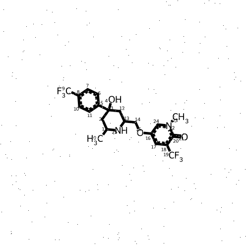 CC1CC(O)(c2ccc(C(F)(F)F)cc2)CC(COc2cc(C(F)(F)F)c(=O)n(C)c2)N1